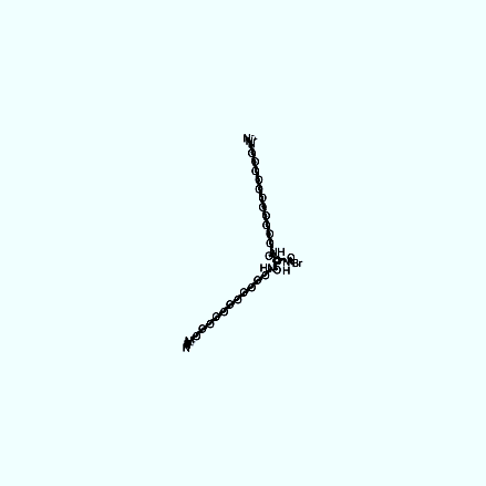 [N-]=[N+]=NCCOCCOCCOCCOCCOCCOCCOCCOCCOCCOCCOCCNC(=O)c1cc(CNC(=O)CBr)cc(C(=O)NCCOCCOCCOCCOCCOCCOCCOCCOCCOCCOCCOCCN=[N+]=[N-])c1